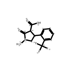 CN1CC(c2ccccc2C(F)(F)F)C(C(=O)O)C1=O